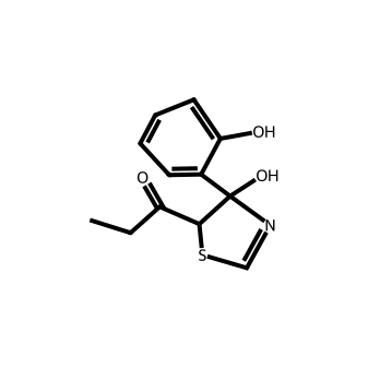 CCC(=O)C1SC=NC1(O)c1ccccc1O